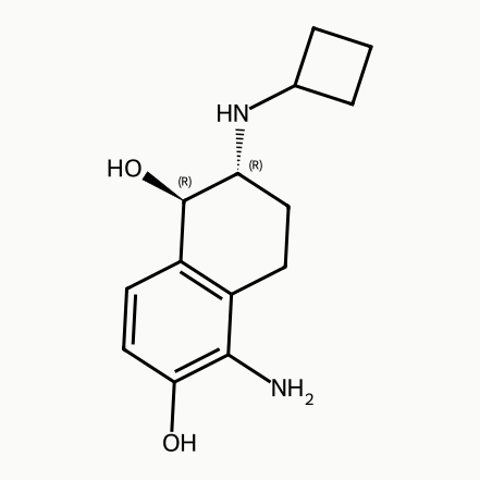 Nc1c(O)ccc2c1CC[C@@H](NC1CCC1)[C@@H]2O